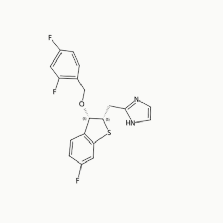 Fc1ccc(CO[C@H]2c3ccc(F)cc3S[C@H]2Cc2ncc[nH]2)c(F)c1